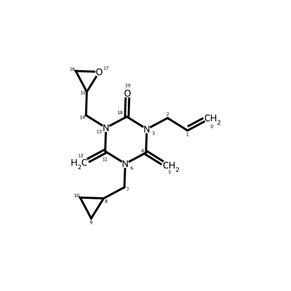 C=CCN1C(=C)N(CC2CC2)C(=C)N(CC2CO2)C1=O